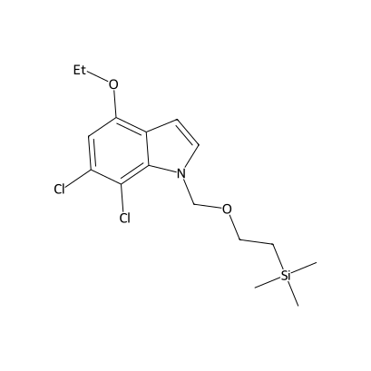 CCOc1cc(Cl)c(Cl)c2c1ccn2COCC[Si](C)(C)C